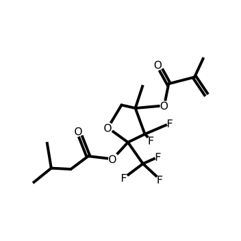 C=C(C)C(=O)OC1(C)COC(OC(=O)CC(C)C)(C(F)(F)F)C1(F)F